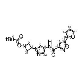 CC(C)(C)C(=O)ON1CC(n2cc(NC(=O)c3cc(-c4ccco4)on3)cn2)C1